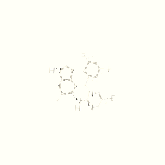 Cc1cc2[nH]ccc2cc1NC1=NCC(F)=CN1Cc1cc(F)cc(F)c1